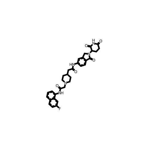 O=C1CCC(N2Cc3cc(NC(=O)CC4CCN(CC(=O)Nc5cccc6ccc(F)cc56)CC4)ccc3C2=O)C(=O)N1